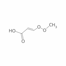 COO/C=C/C(=O)O